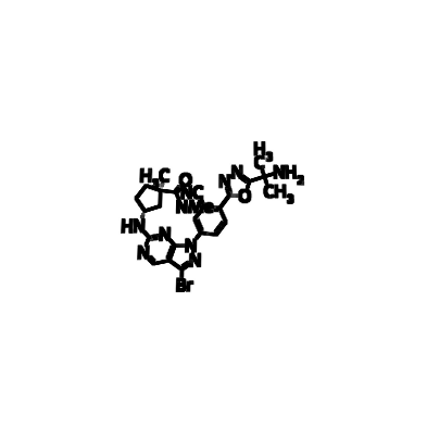 CNC(=O)[C@]1(C)CC[C@@H](Nc2ncc3c(Br)nn(-c4ccc(-c5nnc(C(C)(C)N)o5)c(C#N)c4)c3n2)C1